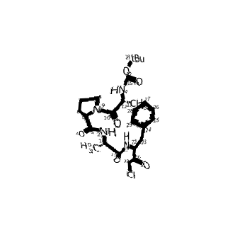 C[C@H](NC(=O)C1CCCN1C(=O)[C@@H](C)NC(=O)OC(C)(C)C)C(=O)NC(Cc1ccccc1)C(=O)CCl